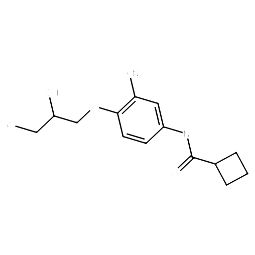 N#Cc1cc(NC(=O)C2CCC2)ccc1OCC(O)CCl